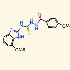 COc1ccc(C(=O)NNC(=S)Nc2nc3cccc(OC)c3[nH]2)cc1